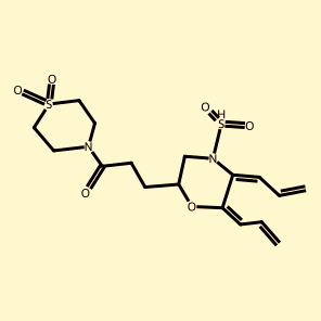 C=C/C=C1/OC(CCC(=O)N2CCS(=O)(=O)CC2)CN([SH](=O)=O)/C1=C/C=C